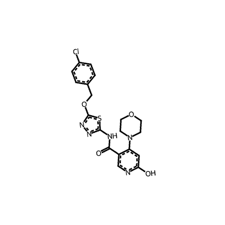 O=C(Nc1nnc(OCc2ccc(Cl)cc2)s1)c1cnc(O)cc1N1CCOCC1